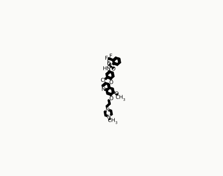 COc1cc2c(Oc3ccc(NS(=O)(=O)c4ccccc4C(F)(F)F)cc3Cl)ccnc2cc1OCCCN1CCN(C)CC1